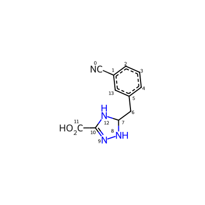 N#Cc1cccc(CC2NN=C(C(=O)O)N2)c1